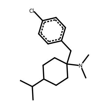 CC(C)C1CCC(Cc2ccc(Cl)cc2)(N(C)C)CC1